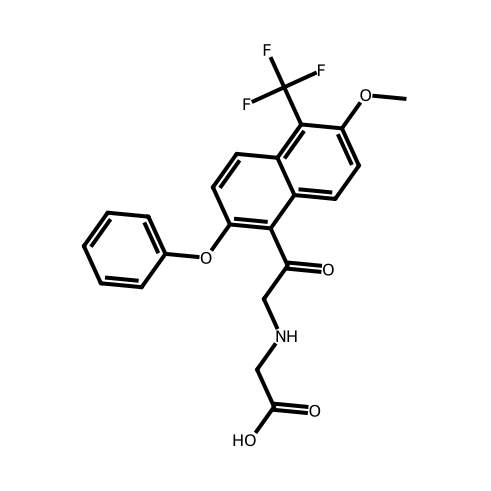 COc1ccc2c(C(=O)CNCC(=O)O)c(Oc3ccccc3)ccc2c1C(F)(F)F